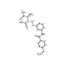 C=Cc1ccc(C(=O)Nc2cccc(CO[C@H](C(=O)O)[C@H](N)C(=O)O)c2)cc1